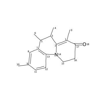 CC1=C2C(C)C(C)c3cc(C)ccc3N2CCC1=O